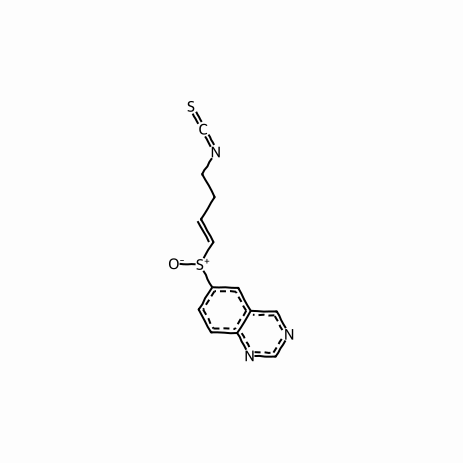 [O-][S+](C=CCCN=C=S)c1ccc2ncncc2c1